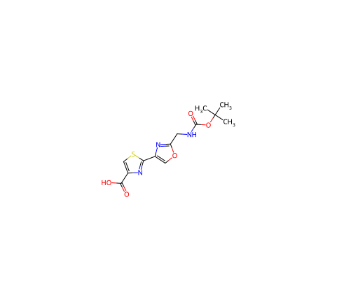 CC(C)(C)OC(=O)NCc1nc(-c2nc(C(=O)O)cs2)co1